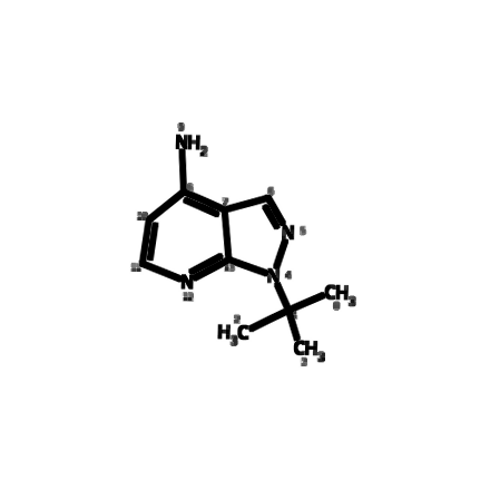 CC(C)(C)n1ncc2c(N)ccnc21